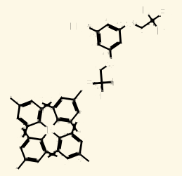 Cc1cc(C)c([B-](c2c(C)cc(C)cc2C)(c2c(C)cc(C)cc2C)c2c(C)cc(C)cc2C)c(C)c1.FC(F)(F)COc1cc([PH3+])cc(OCC(F)(F)F)c1